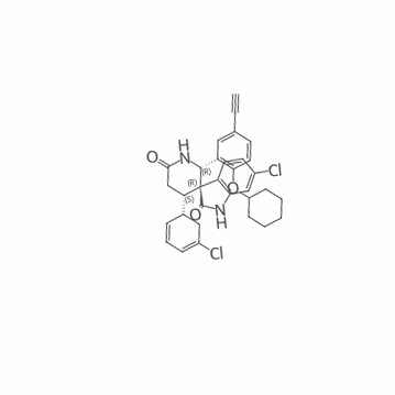 C#Cc1ccc(OC2CCCCC2)c([C@H]2NC(=O)C[C@@H](C3C=CC=C(Cl)C3)[C@]23C(=O)Nc2cc(Cl)ccc23)c1